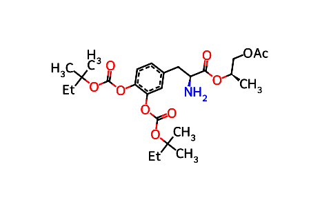 CCC(C)(C)OC(=O)Oc1ccc(C[C@H](N)C(=O)O[C@H](C)COC(C)=O)cc1OC(=O)OC(C)(C)CC